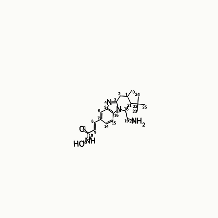 CC(Cc1nc2cc(/C=C/C(=O)NO)ccc2n1CCN)CC(C)(C)C